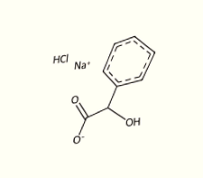 Cl.O=C([O-])C(O)c1ccccc1.[Na+]